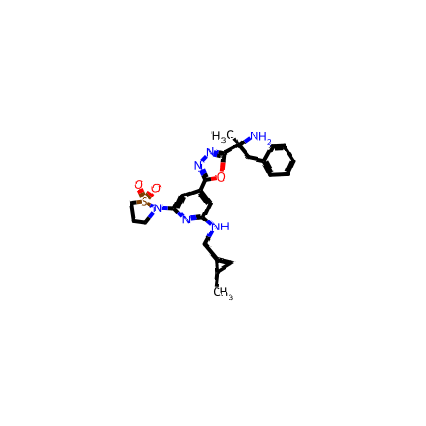 CC1CC1CNc1cc(-c2nnc([C@](C)(N)Cc3ccccc3)o2)cc(N2CCCS2(=O)=O)n1